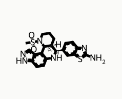 CS(=O)(=O)N1CCC[C@@H]2C1c1c(ccc3[nH]ncc13)N[C@@H]2c1ccc2nc(N)sc2c1